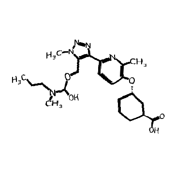 CCCN(C)C(O)OCc1c(-c2ccc(O[C@H]3CCC[C@H](C(=O)O)C3)c(C)n2)nnn1C